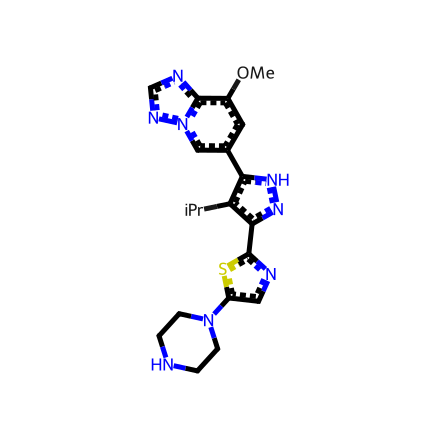 COc1cc(-c2[nH]nc(-c3ncc(N4CCNCC4)s3)c2C(C)C)cn2ncnc12